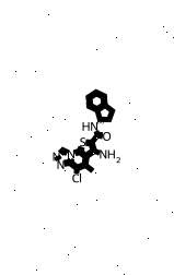 Cc1c(Cl)c2nncn2c2sc(C(=O)N[C@H]3CCc4ccccc43)c(N)c12